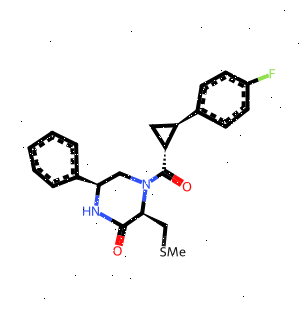 CSC[C@H]1C(=O)N[C@@H](c2ccccc2)CN1C(=O)[C@@H]1C[C@H]1c1ccc(F)cc1